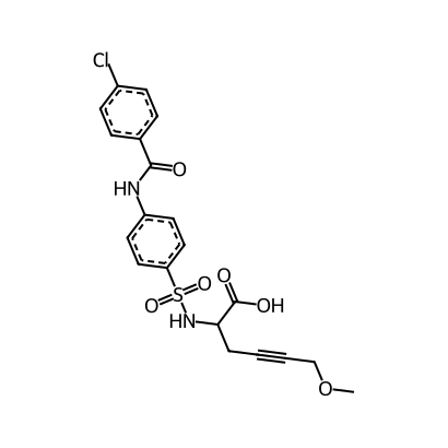 COCC#CCC(NS(=O)(=O)c1ccc(NC(=O)c2ccc(Cl)cc2)cc1)C(=O)O